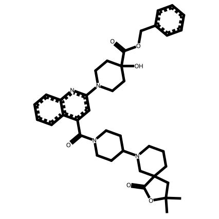 CC1(C)CC2(CCCN(C3CCN(C(=O)c4cc(N5CCC(O)(C(=O)OCc6ccccc6)CC5)nc5ccccc45)CC3)C2)C(=O)O1